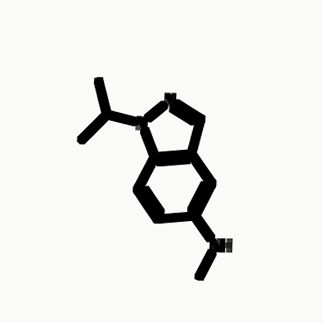 CNc1ccc2c(cnn2C(C)C)c1